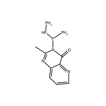 Cc1nc2cccnc2c(=O)n1P(P)PP